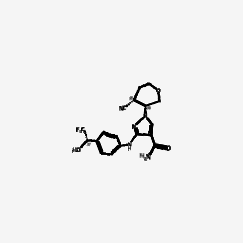 N#C[C@@H]1CCOC[C@H]1n1cc(C(N)=O)c(Nc2ccc([C@H](O)C(F)(F)F)cc2)n1